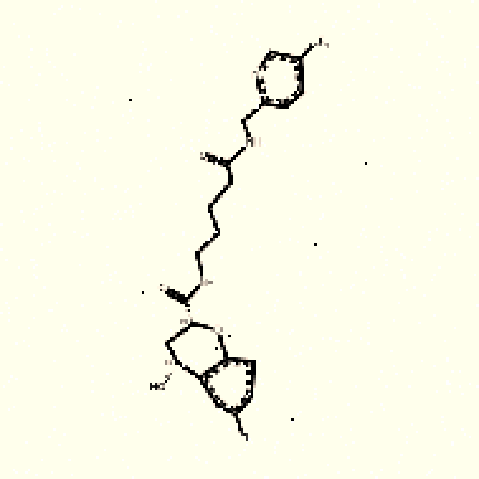 O=C(CCCCNC(=O)[C@H]1C[C@@H](O)c2cc(Cl)ccc2O1)NCc1ccc(C(F)(F)F)cn1